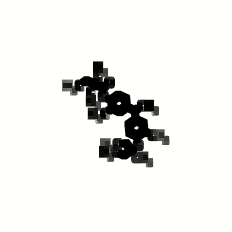 CCC(C)(CC)Oc1ccc(C(C)c2ccc(OC(=O)C(C)(C)CC)c(C)c2)cc1C